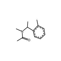 CC(=O)N(C)C(C)c1ccccc1C